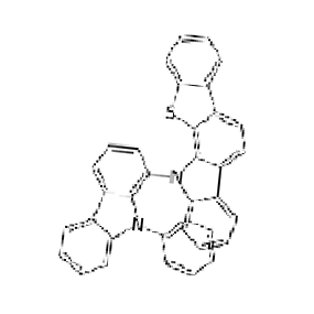 c1ccc(-n2c3ccccc3c3cccc(-n4c5ccccc5c5ccc6c7ccccc7sc6c54)c32)cc1